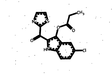 CCC(=O)Oc1c(C(=O)c2nccs2)[nH]c2ccc(Cl)cc12